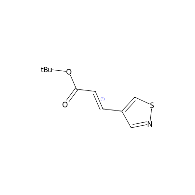 CC(C)(C)OC(=O)/C=C/c1cnsc1